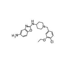 CCOc1cc(CN2CCC(Nc3nc4cc(N)ccc4o3)CC2)ccc1Cl